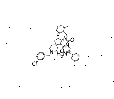 Cc1cccc(F)c1Cn1c2c(c(=O)n(C[C@H](N)c3ccccc3)c1=O)C1(CC2)CCN(Cc2cccc(Cl)c2)CC1